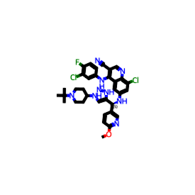 COc1ccc([C@H](Nc2cc(Cl)c3ncc(C#N)c(Nc4ccc(F)c(Cl)c4)c3c2)C2=CN(C3CCN(C(C)(C)C)CC3)NN2)cn1